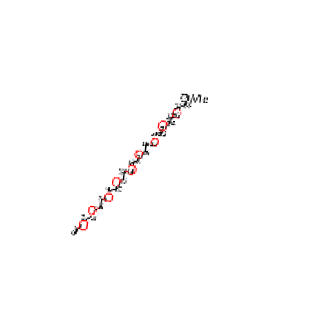 C=COCCOCCOCCOCCOCCOCCOCCOCCOCCOC